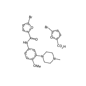 COc1ccc(NC(=O)c2ccc(Br)o2)cc1N1CCN(C)CC1.O=C(O)c1ccc(Br)o1